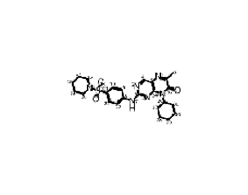 Cc1nc2cnc(Nc3ccc(S(=O)(=O)N4CCCCC4)cc3)nc2n(C2CCCCC2)c1=O